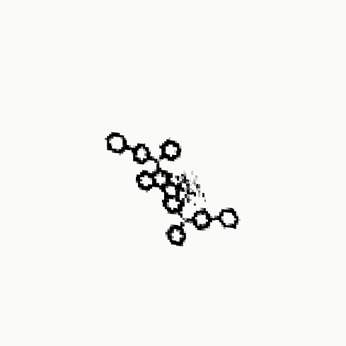 C[Si](C)(C)C1([Si](C)(C)C)c2cc(N(c3ccccc3)c3ccc(C4CCCCC4)cc3)ccc2-c2c1cc(N(c1ccccc1)c1ccc(C3CCCCC3)cc1)c1ccccc21